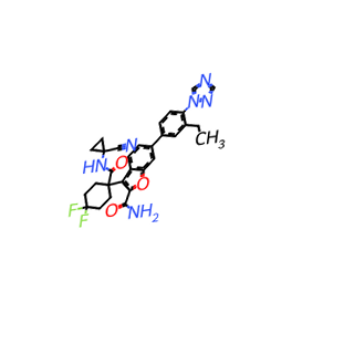 CCc1cc(-c2ccc3c(C4(C(=O)NC5(C#N)CC5)CCC(F)(F)CC4)c(C(N)=O)oc3c2)ccc1-n1cncn1